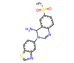 CCCS(=O)(=O)c1ccc2c(c1)C(N)N(c1ccc3scnc3c1)C=N2